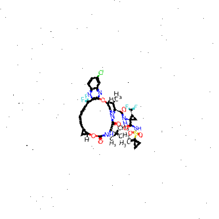 C[C@@H]1[C@@H]2CN(C(=O)[C@H](C(C)(C)C)NC(=O)O[C@@H]3CC3CCCCC(F)(F)c3nc4ccc(Cl)cc4nc3O2)[C@@H]1C(=O)N[C@]1(C(=O)NS(=O)(=O)C2(C)CC2)C[C@H]1C(F)F